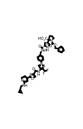 O=C(Nc1cn(-c2ccc(CNC(=O)[C@@H]3C[C@@H]([C@]4(C(=O)O)CCCN4C(=O)OCc4ccccc4)CN3)cc2)nc1C(F)F)c1coc(-c2ccnc(NCC3CC3)c2)n1